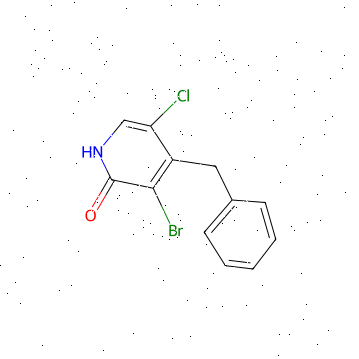 O=c1[nH]cc(Cl)c(Cc2ccccc2)c1Br